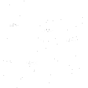 CCCCCCCCCCCC[Si](CCCCCCCCCCCC)(CCCCCCCCCCCC)OC